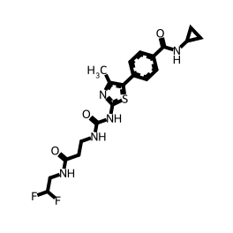 Cc1nc(NC(=O)NCCC(=O)NCC(F)F)sc1-c1ccc(C(=O)NC2CC2)cc1